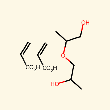 C=CC(=O)O.C=CC(=O)O.CC(O)COC(C)CO